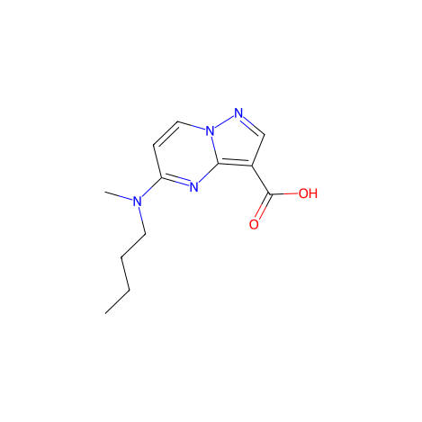 CCCCN(C)c1ccn2ncc(C(=O)O)c2n1